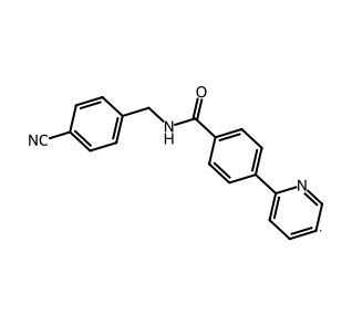 N#Cc1ccc(CNC(=O)c2ccc(-c3cc[c]cn3)cc2)cc1